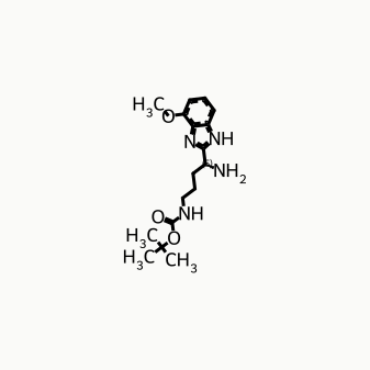 COc1cccc2[nH]c([C@@H](N)CCCNC(=O)OC(C)(C)C)nc12